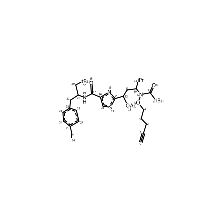 C#CCCCON(C(=O)CCCC)C(CC(OC(C)=O)c1nc(C(=O)NC(Cc2ccc(F)cc2)CC(C)(C)C)cs1)C(C)C